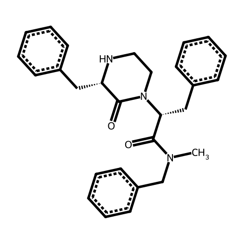 CN(Cc1ccccc1)C(=O)[C@@H](Cc1ccccc1)N1CCN[C@@H](Cc2ccccc2)C1=O